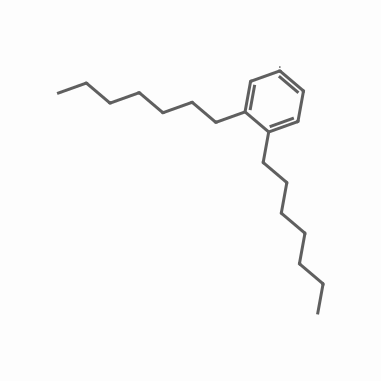 CCCCCCCc1c[c]ccc1CCCCCCC